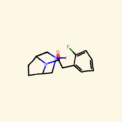 O=C(Cc1ccccc1F)N1C2CCC1CN(I)C2